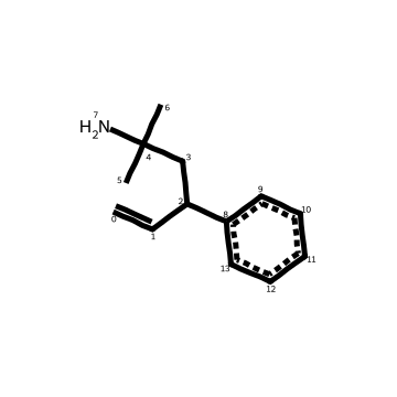 C=CC(CC(C)(C)N)c1ccccc1